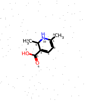 CC1=CC=C(C(=O)O)C(C)N1